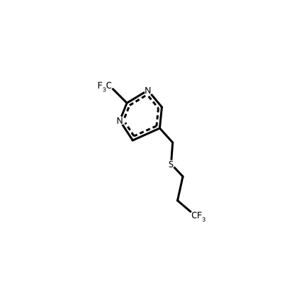 FC(F)(F)CCSCc1cnc(C(F)(F)F)nc1